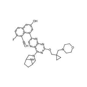 C#Cc1c(F)ccc2cc(O)cc(-c3ccc4c(N5CC6CCC(C5)N6)nc(OCC5(CN6CCOCC6)CC5)nc4n3)c12